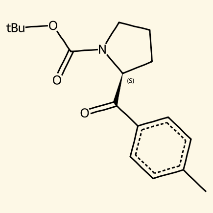 Cc1ccc(C(=O)[C@@H]2CCCN2C(=O)OC(C)(C)C)cc1